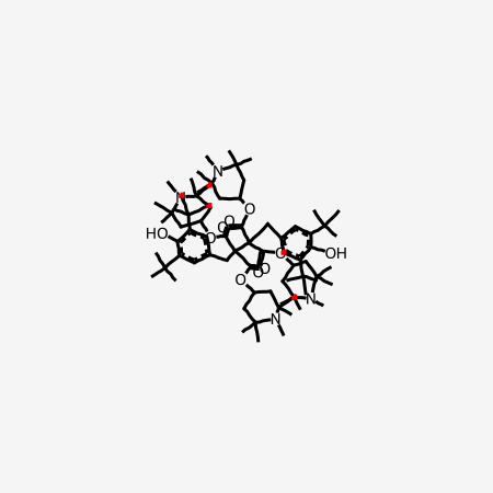 CN1C(C)(C)CC(OC(=O)C(Cc2cc(C(C)(C)C)c(O)c(C(C)(C)C)c2)(C(=O)OC2CC(C)(C)N(C)C(C)(C)C2)C(Cc2cc(C(C)(C)C)c(O)c(C(C)(C)C)c2)(C(=O)OC2CC(C)(C)N(C)C(C)(C)C2)C(=O)OC2CC(C)(C)N(C)C(C)(C)C2)CC1(C)C